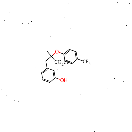 CCOC(=O)C(C)(Cc1cccc(O)c1)Oc1ccc(C(F)(F)F)cc1